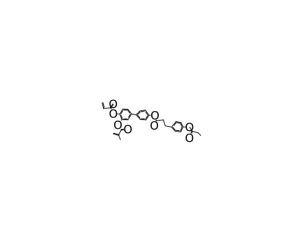 C=CC(=O)Oc1ccc(-c2ccc(OC(=O)CCc3ccc(OC(=O)CC)cc3)cc2)cc1OC(=O)C(=C)C